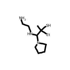 CCC(C)(S)C(NCCN)N1CCCC1